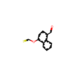 O=Cc1ccc(OC=S)c2ccccc12